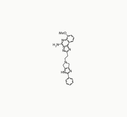 COc1cccc2c1nc(N)n1nc(CCN3Cc4nc(-c5ccccc5)[nH]c4C3)nc21